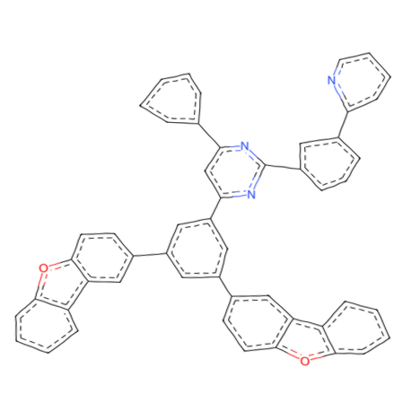 c1ccc(-c2cc(-c3cc(-c4ccc5oc6ccccc6c5c4)cc(-c4ccc5oc6ccccc6c5c4)c3)nc(-c3cccc(-c4ccccn4)c3)n2)cc1